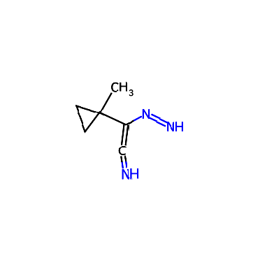 CC1(C(=C=N)N=N)CC1